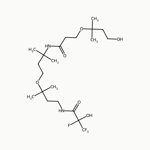 CC(C)(CCOC(C)(C)CCNC(=O)C(O)(F)C(F)(F)F)NC(=O)CCOC(C)(C)CCO